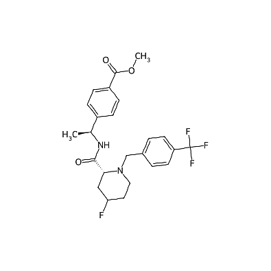 COC(=O)c1ccc([C@H](C)NC(=O)[C@H]2CC(F)CCN2Cc2ccc(C(F)(F)F)cc2)cc1